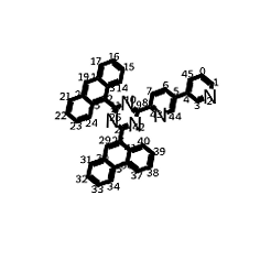 c1cncc(-c2ccc(-c3nc(-c4c5ccccc5cc5ccccc45)nc(-c4cc5ccccc5c5ccccc45)n3)nc2)c1